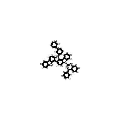 c1ccc(-c2cccc(-n3c4ccc5c6ccccc6oc5c4c4ccc5c(c6ccccc6n5-c5nc(-c6ccccc6)c6ccccc6n5)c43)c2)cc1